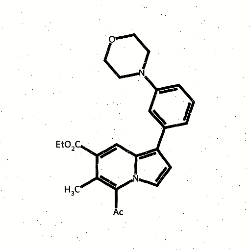 CCOC(=O)c1cc2c(-c3cccc(N4CCOCC4)c3)ccn2c(C(C)=O)c1C